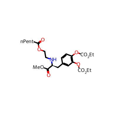 CCCCCC(=O)OCCN[C@@H](Cc1ccc(OC(=O)OCC)c(OC(=O)OCC)c1)C(=O)OC